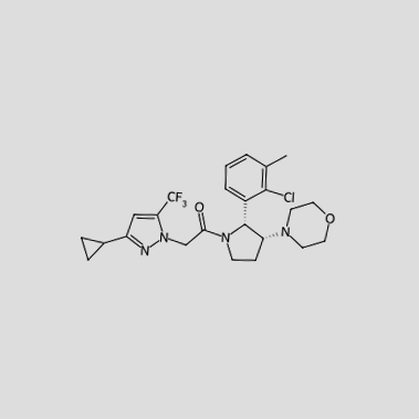 Cc1cccc([C@@H]2[C@H](N3CCOCC3)CCN2C(=O)Cn2nc(C3CC3)cc2C(F)(F)F)c1Cl